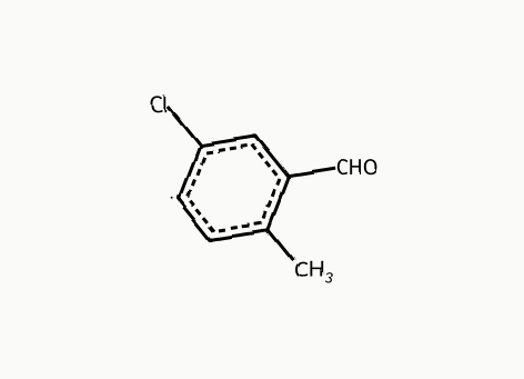 Cc1c[c]c(Cl)cc1C=O